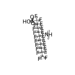 CNC.O=S(=O)(O)C(F)(F)C(F)(F)C(F)(F)C(F)(F)C(F)(F)C(F)(F)C(F)(F)C(F)(F)C(F)(F)C(F)F